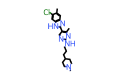 Cc1cc2nc(-c3cnc(NCCCC4CCN(C)CC4)nc3C)[nH]c2cc1Cl